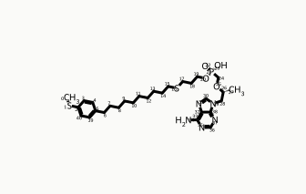 CSc1ccc(CCCCCCCCCCSCCCOP(=O)(O)CO[C@H](C)Cn2cnc3c(N)ncnc32)cc1